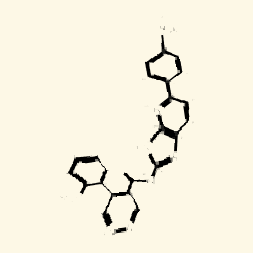 COc1ccccc1-c1cnncc1C(=O)Nc1nc2ccc(-c3ccc(NC(C)=O)cc3)nc2s1